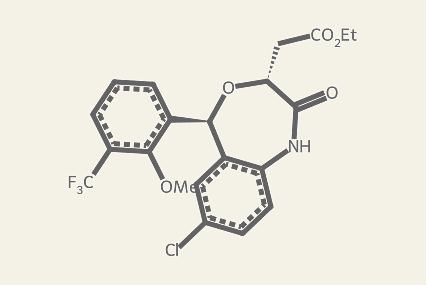 CCOC(=O)C[C@H]1O[C@H](c2cccc(C(F)(F)F)c2OC)c2cc(Cl)ccc2NC1=O